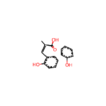 CC(=Cc1ccccc1O)C(=O)O.Oc1ccccc1